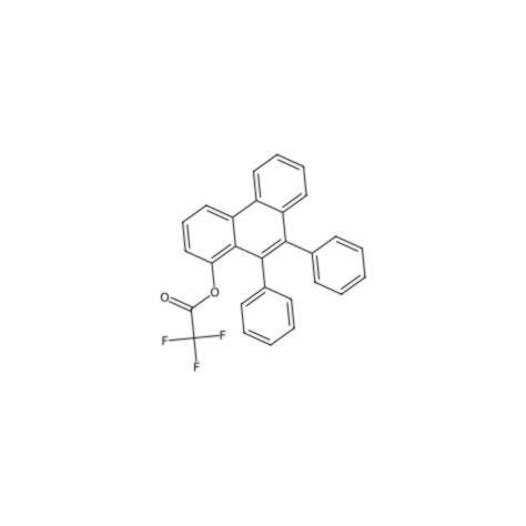 O=C(Oc1cccc2c1c(-c1ccccc1)c(-c1ccccc1)c1ccccc12)C(F)(F)F